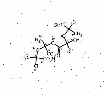 CC(Cl)(C=O)OC(C)(Cl)C(=O)OC(C)(OC(C)(Cl)C(=O)O)C(=O)O